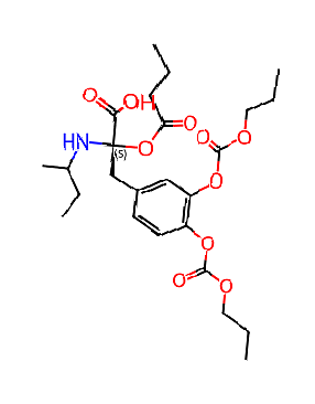 CCCOC(=O)Oc1ccc(C[C@](NC(C)CC)(OC(=O)CCC)C(=O)O)cc1OC(=O)OCCC